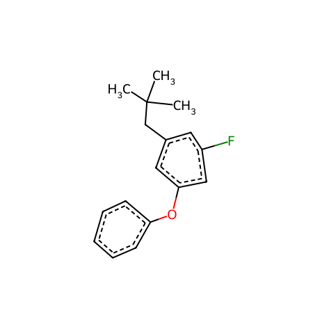 CC(C)(C)Cc1cc(F)cc(Oc2ccccc2)c1